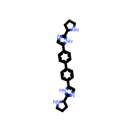 c1cc(-c2cnc(C3CCCN3)[nH]2)ccc1-c1ccc(-c2cnc(C3CCCN3)[nH]2)cc1